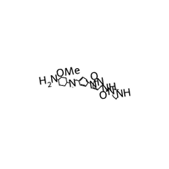 CO[C@H]1CC(N(C)Cc2ccc(-n3ccc(NC(=O)N4CCNCC4)nc3=O)cc2)CC[C@@H]1N